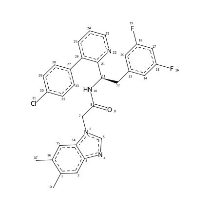 Cc1cc2ncn(CC(=O)N[C@H](Cc3cc(F)cc(F)c3)c3ncccc3-c3ccc(Cl)cc3)c2cc1C